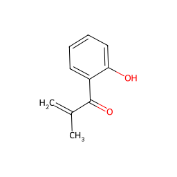 C=C(C)C(=O)c1ccccc1O